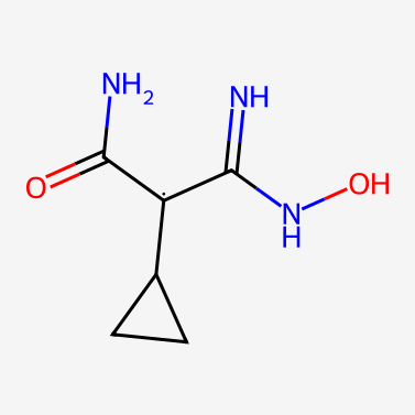 N=C(NO)[C](C(N)=O)C1CC1